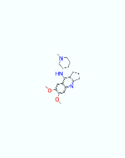 COc1cc2nc3c(c(N[C@H]4CCCN(C)C4)c2cc1OC)CCC3